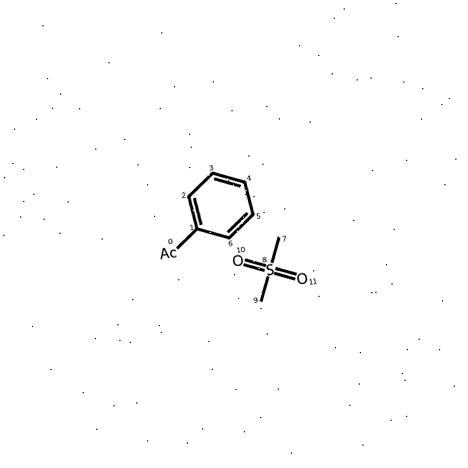 CC(=O)c1ccccc1.CS(C)(=O)=O